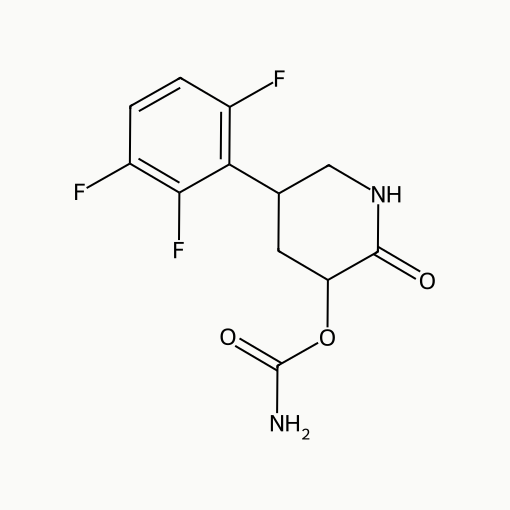 NC(=O)OC1CC(c2c(F)ccc(F)c2F)CNC1=O